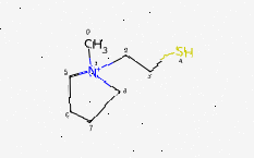 C[N+]1(CCS)CCCC1